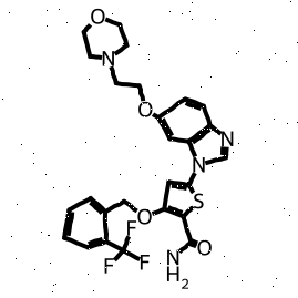 NC(=O)c1sc(-n2cnc3ccc(OCCN4CCOCC4)cc32)cc1OCc1ccccc1C(F)(F)F